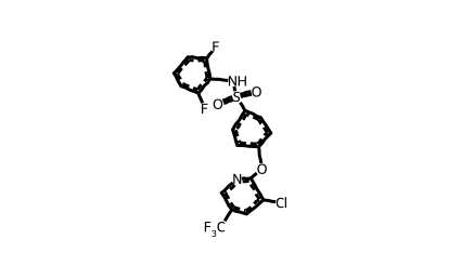 O=S(=O)(Nc1c(F)cccc1F)c1ccc(Oc2ncc(C(F)(F)F)cc2Cl)cc1